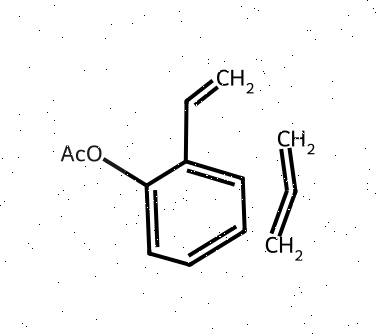 C=C=C.C=Cc1ccccc1OC(C)=O